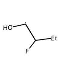 CCC(F)[CH]O